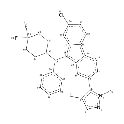 Cc1nnn(C)c1-c1cnc2c3ccc(Cl)cc3n(C(c3ccccc3)C3CCC(F)(F)CC3)c2c1